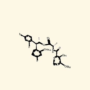 COc1cc(F)ccc1[C@@H](c1ccc(F)cc1F)[C@H](C)OC(=O)[C@H](C)NC(=O)c1nccc(OC)c1O